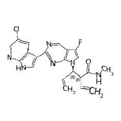 C=C[C@H]([C@@H](C=C)C(=O)NC)n1cc(F)c2cnc(-c3c[nH]c4ncc(Cl)cc34)nc21